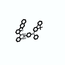 CC1(C)c2ccccc2-c2ccc(N(c3ccccc3)c3ccc(C4Nc5ccccc5C(c5cccc6c5sc5cc7ccccc7cc56)N4)cc3)cc21